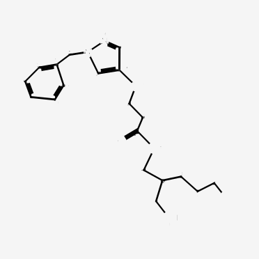 CCCCC(CC)COC(=O)CCSc1cnn(Cc2ccccc2)c1